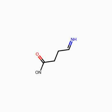 N=CCCC(=O)N=O